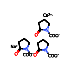 O=C([O-])N1CCCC1=O.O=C([O-])N1CCCC1=O.O=C([O-])N1CCCC1=O.[Cu+2].[Na+]